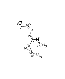 C=N/C(=C\C=N/CCl)C1CC1C